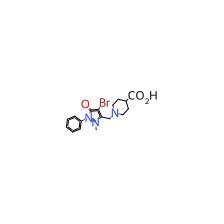 Cn1c(CN2CCC(C(=O)O)CC2)c(Br)c(=O)n1-c1ccccc1